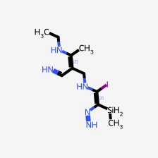 CCN/C(C)=C(\C=N)CN/C(I)=C(\N=N)[SiH2]C